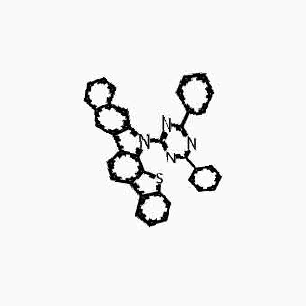 c1ccc(-c2nc(-c3ccccc3)nc(-n3c4cc5ccccc5cc4c4ccc5c6ccccc6sc5c43)n2)cc1